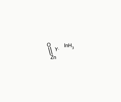 [InH3].[O]=[Zn].[Y]